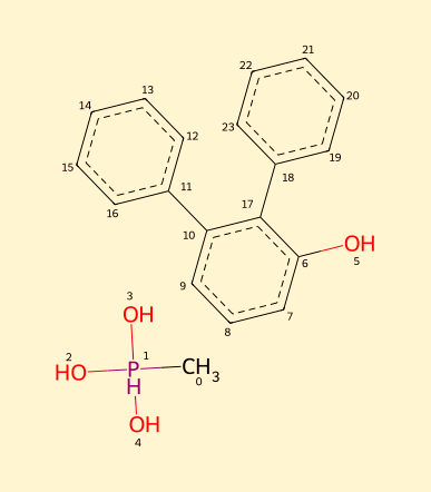 C[PH](O)(O)O.Oc1cccc(-c2ccccc2)c1-c1ccccc1